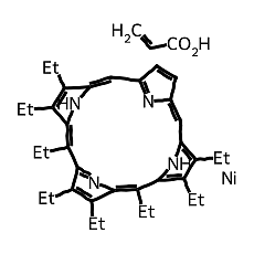 C=CC(=O)O.CCC1=C(CC)c2nc1c(CC)c1[nH]c(cc3nc(cc4[nH]c(c2CC)c(CC)c4CC)C=C3)c(CC)c1CC.[Ni]